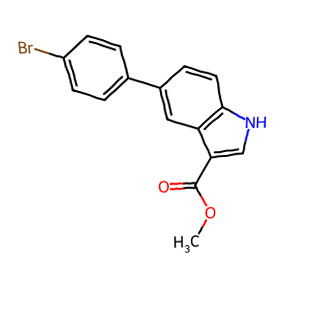 COC(=O)c1c[nH]c2ccc(-c3ccc(Br)cc3)cc12